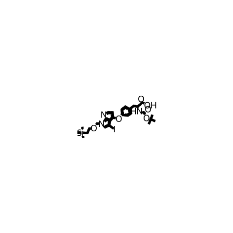 CC(C)(C)OC(=O)NC(Cc1ccc(Oc2ccnc3c2c(I)cn3COCC[Si](C)(C)C)cc1)C(=O)O